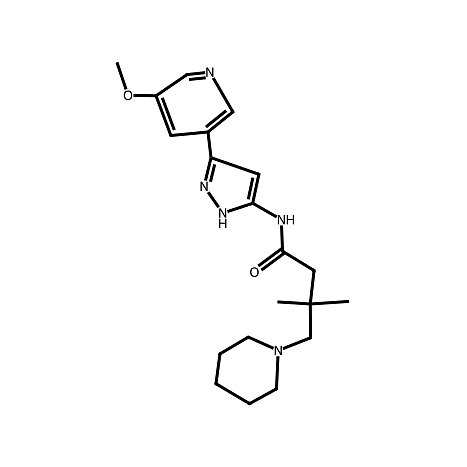 COc1cncc(-c2cc(NC(=O)CC(C)(C)CN3CCCCC3)[nH]n2)c1